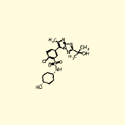 Cc1nc2sc(C(C)(C)O)nn2c1-c1ccc(Cl)c(S(=O)(=O)N[C@H]2CC[C@@H](O)CC2)c1